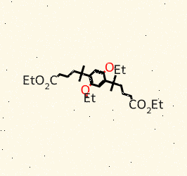 CCOC(=O)CCCC(C)(C)c1cc(OCC)c(C(C)(C)CCCC(=O)OCC)cc1OCC